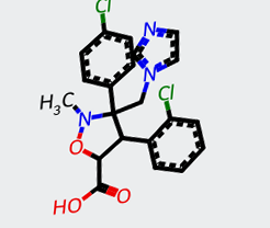 CN1OC(C(=O)O)C(c2ccccc2Cl)C1(Cn1ccnc1)c1ccc(Cl)cc1